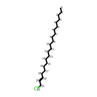 CCCCCCCCCCCCCCCCCCCC=CCCl